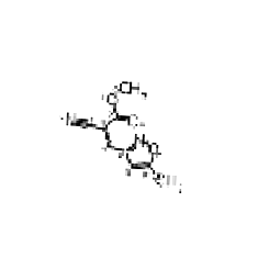 COC(=O)C(C#N)=Cc1cc(C)on1